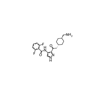 NC[C@H]1CC[C@H](CC(=O)c2n[nH]cc2NC(=O)c2c(F)cccc2F)CC1